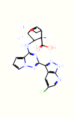 O=C(O)[C@@H]1[C@@H](Nc2nc(-c3n[nH]c4ncc(Cl)cc34)nn3cccc23)[C@@H]2CC[C@]13C[C@H]2C3